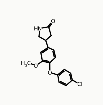 COc1cc(C2CNC(=O)C2)ccc1Oc1ccc(Cl)cc1